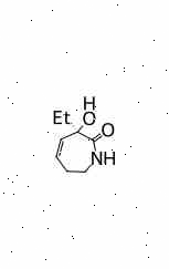 CC[C@@]1(O)C=CCCNC1=O